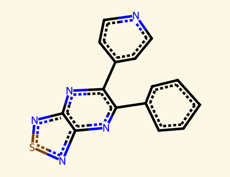 c1ccc(-c2nc3nsnc3nc2-c2ccncc2)cc1